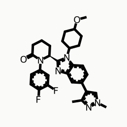 COC1CCC(n2c([C@@H]3CCCC(=O)N3c3ccc(F)c(F)c3)nc3cc(-c4cn(C)nc4C)ccc32)CC1